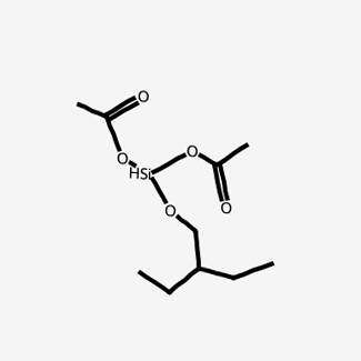 CCC(CC)CO[SiH](OC(C)=O)OC(C)=O